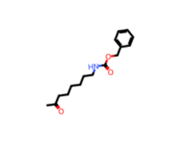 CC(=O)CCCCCCNC(=O)OCc1ccccc1